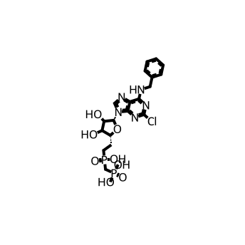 O=P(O)(O)CP(=O)(O)CC[C@H]1O[C@@H](n2cnc3c(NCc4ccccc4)nc(Cl)nc32)C(O)C1O